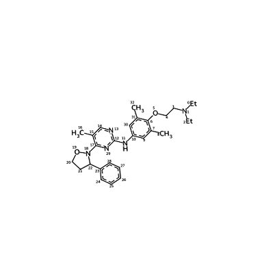 CCN(CC)CCOc1c(C)cc(Nc2ncc(C)c(N3OCCC3c3ccccc3)n2)cc1C